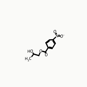 CC(O)COC(=O)c1ccc([N+](=O)[O-])cc1